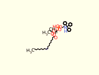 CCCCCCCC/C=C\CCCCCCCC(=O)OC[C@H](COP(=O)(O)OCCNC(c1ccccc1)(c1ccccc1)c1ccccc1)OC(=O)C(C)C